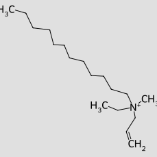 C=CC[N+](C)(CC)CCCCCCCCCCCC